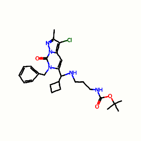 Cc1nn2c(=O)n(Cc3ccccc3)c(C(NCCCNC(=O)OC(C)(C)C)C3CCC3)cc2c1Cl